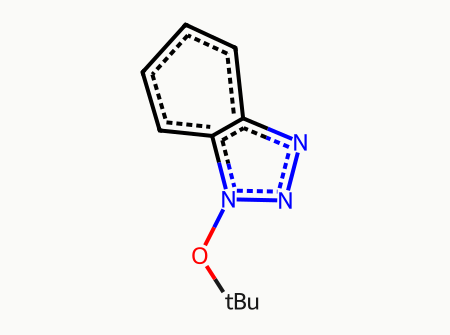 CC(C)(C)On1nnc2ccccc21